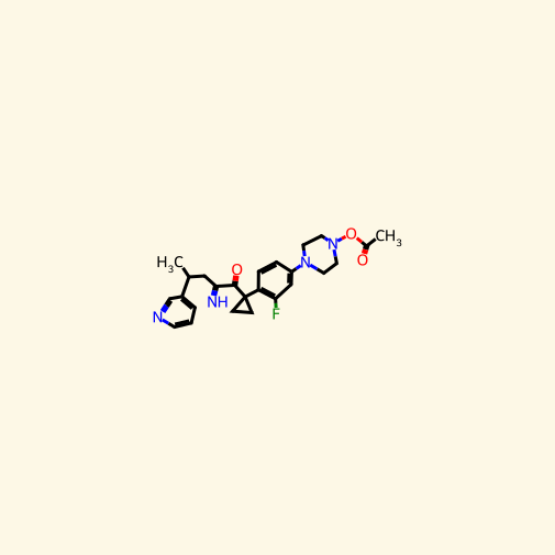 CC(=O)ON1CCN(c2ccc(C3(C(=O)C(=N)CC(C)c4cccnc4)CC3)c(F)c2)CC1